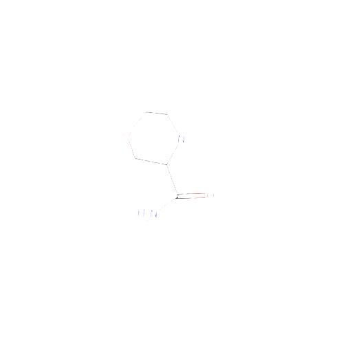 NC(=O)C1COCC[N]1